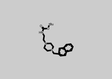 CC(C)(C)OC(=O)NCCN1CCN(Cc2ccc3ccccc3c2)CC1